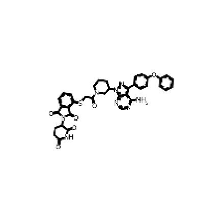 Nc1ncnc2c1c(-c1ccc(Oc3ccccc3)cc1)nn2C1CCCN(C(=O)CSc2cccc3c2C(=O)N(C2CCC(=O)NC2=O)C3=O)C1